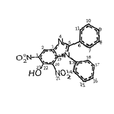 O=[N+]([O-])c1cc2nc(-c3ccccc3)n(-c3ccccc3)c2c([N+](=O)[O-])c1O